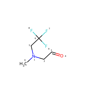 CN(CC=O)CC(F)(F)F